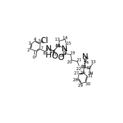 Cc1cccc(Cl)c1CNC(=O)[C@H]1CCCN1C(=O)CCCC[C@@](C#N)(c1ccccc1)C(C)C